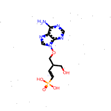 Nc1ncnc2c1ncn2OCC(/C=C/P(=O)(O)O)CO